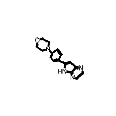 c1cnc2[nH]c(-c3ccc(N4CCOCC4)cc3)cc2n1